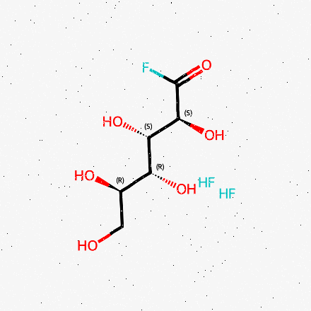 F.F.O=C(F)[C@@H](O)[C@@H](O)[C@H](O)[C@H](O)CO